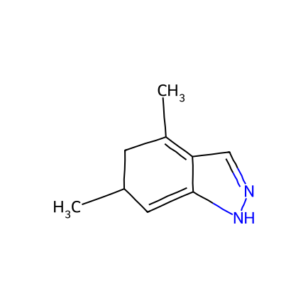 CC1=c2cn[nH]c2=CC(C)C1